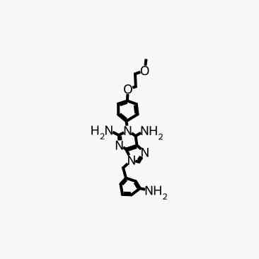 COCCOc1ccc(N2C(N)=Nc3c(ncn3Cc3cccc(N)c3)C2N)cc1